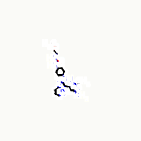 COCCNC(=O)Nc1ccc(Nc2nc3cccnn3c2-c2cc(N)nc(C)n2)cc1